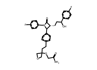 NC(=O)COC1(CCc2ccc(C3[C@@H](CCC(O)c4ccc(F)cc4)C(=O)N3c3ccc(F)cc3)cc2)COC1